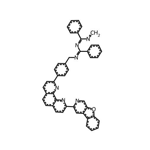 C=N/C(=N\C(=N/Cc1ccc(-c2ccc3ccc4ccc(-c5cc6c(cn5)oc5ccccc56)nc4c3n2)cc1)c1ccccc1)c1ccccc1